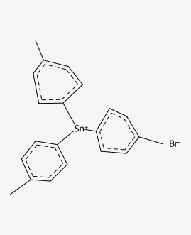 Cc1cc[c]([Sn+]([c]2ccc(C)cc2)[c]2ccc(C)cc2)cc1.[Br-]